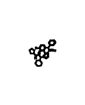 COC(c1ccccc1)c1ccc(F)c(F)c1-c1nccn1[C@H](C(=O)NC1CCCC1)C1CCCCC1